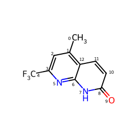 Cc1cc(C(F)(F)F)nc2[nH]c(=O)ccc12